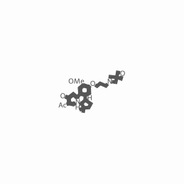 COc1cc2c(cc1OCCCN1CC3(COC3)C1)[C@H]1CCC(C)(C)[C@H]1n1cc(C(C)=O)c(=O)cc1-2